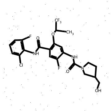 CC(Oc1cc(NC(=O)N2CCC(CO)C2)c(F)cc1C(=O)Nc1c(F)cccc1Cl)C(F)(F)F